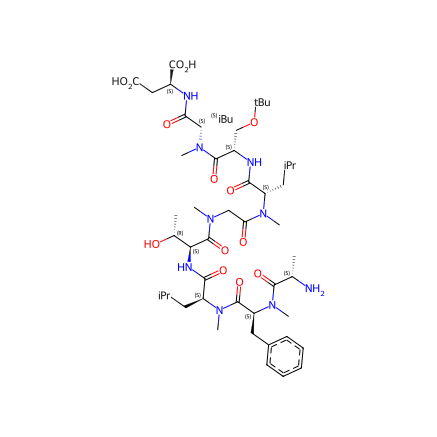 CC[C@H](C)[C@@H](C(=O)N[C@@H](CC(=O)O)C(=O)O)N(C)C(=O)[C@H](COC(C)(C)C)NC(=O)[C@H](CC(C)C)N(C)C(=O)CN(C)C(=O)[C@@H](NC(=O)[C@H](CC(C)C)N(C)C(=O)[C@H](Cc1ccccc1)N(C)C(=O)[C@H](C)N)[C@@H](C)O